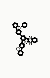 c1ccc(-n2c3ccccc3c3ccc(-c4cc5c6cc7oc8ccccc8c7cc6n6c7nc8ccccc8nc7c(c4)c56)cc32)cc1